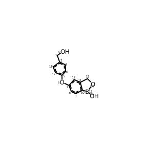 OCc1ccc(Oc2ccc3c(c2)COB3O)cc1